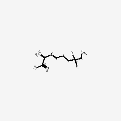 CCC(F)(F)CCCSC(C)C(=O)O